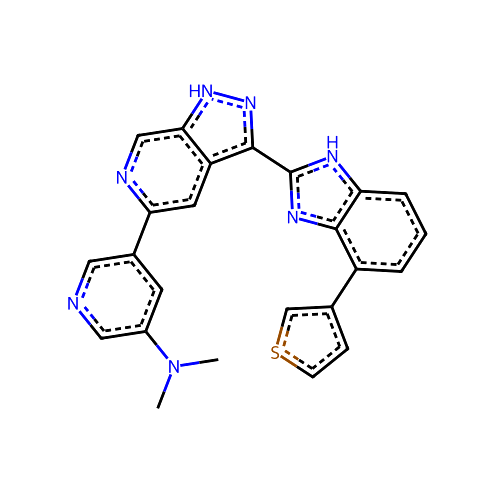 CN(C)c1cncc(-c2cc3c(-c4nc5c(-c6ccsc6)cccc5[nH]4)n[nH]c3cn2)c1